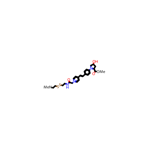 CNCCSSCCNC(=O)C[n+]1ccc(/C=C/c2ccc(N3CC(O)CC3C(=O)OC)cc2)cc1